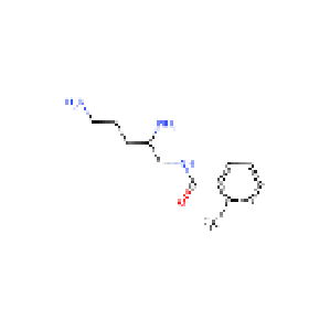 NCCCC(N)CNC(=O)c1ccccc1C(F)(F)F